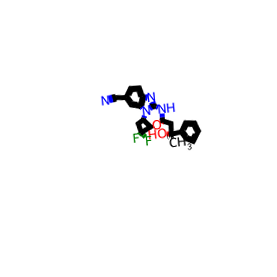 C[C@@](O)(CC(=O)Nc1nc2ccc(C#N)cc2n1C1CC(F)(F)C1)c1ccccc1